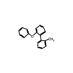 Cc1ccccc1-c1cc[c]cc1Oc1ccccc1